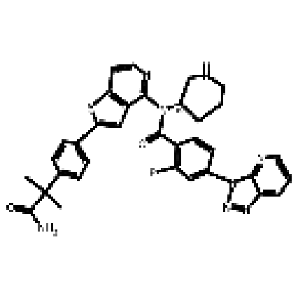 CC(C)(C(N)=O)c1ccc(-c2cc3c(N(C(=O)c4ccc(-n5nnc6cccnc65)cc4F)[C@@H]4CCCNC4)nccc3s2)cc1